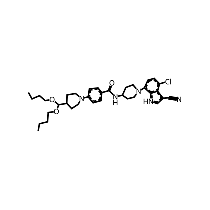 CCCCOC(OCCCC)C1CCN(c2ccc(C(=O)NC3CCN(c4ccc(Cl)c5c(C#N)c[nH]c45)CC3)cc2)CC1